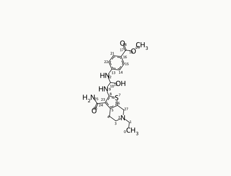 CCN1CCc2c(sc(NC(O)Nc3ccc(C(=O)OC)cc3)c2C(N)=O)C1